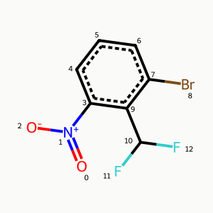 O=[N+]([O-])c1cccc(Br)c1C(F)F